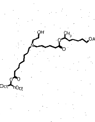 CCCCCCCCC(CCCCCCCC)OC(=O)CCCCCCCN(CCO)CCCCCC(=O)OC(C)CCCCCOC(C)=O